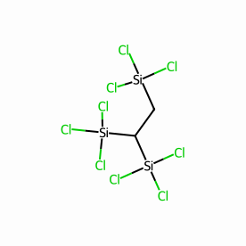 Cl[Si](Cl)(Cl)CC([Si](Cl)(Cl)Cl)[Si](Cl)(Cl)Cl